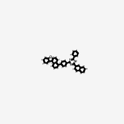 c1ccc(-c2nc(-c3ccc(-c4cccc5c4ccc4oc6ccccc6c45)cc3)nc(-c3ccc4ccccc4c3)n2)cc1